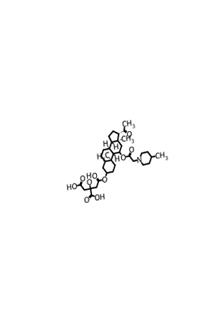 CC(=O)[C@H]1CC[C@H]2[C@@H]3CCC4CC(OC(=O)CC(O)(CC(=O)O)C(=O)O)CC[C@]4(C)[C@H]3C(OC(=O)CN3CCC(C)CC3)C[C@]12C